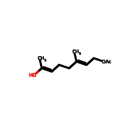 CC(=O)OC/C=C(\C)CC/C=C(\C)O